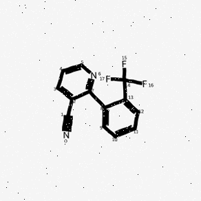 N#Cc1cccnc1-c1ccccc1C(F)(F)F